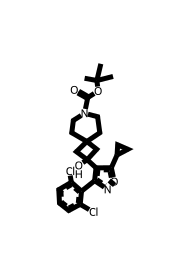 CC(C)(C)OC(=O)N1CCC2(CC1)CC(O)(c1c(-c3c(Cl)cccc3Cl)noc1C1CC1)C2